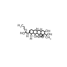 CCCOC(O)NC1=CCC2C[C@H]3C[C@H]4CC(O)C(C(C)O)C(=O)[C@@]4(O)C(O)C3C(O)C2C1O